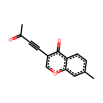 CC(=O)C#Cc1coc2cc(C)ccc2c1=O